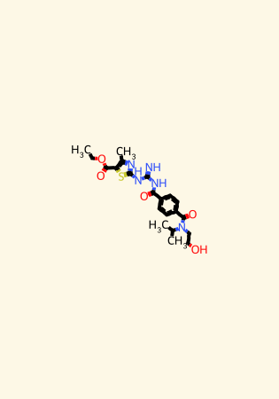 CCOC(=O)c1sc(NC(=N)NC(=O)c2ccc(C(=O)N(CCO)C(C)C)cc2)nc1C